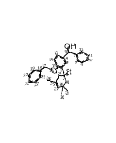 CCC1(c2cc(C(O)c3ccccc3)ccc2OCc2ccccc2)CC(C)=CC(C)(C)C1